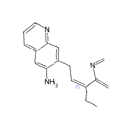 C=NC(=C)/C(=C\Cc1cc2ncccc2cc1N)CC